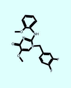 COc1ccccc1Nc1nc(=O)c(OC)cn1Cc1ccc(F)c(F)c1